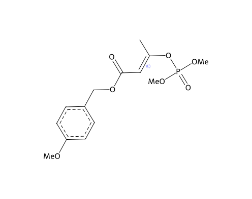 COc1ccc(COC(=O)/C=C(\C)OP(=O)(OC)OC)cc1